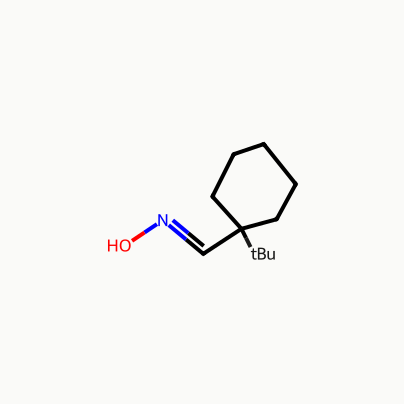 CC(C)(C)C1(C=NO)CCCCC1